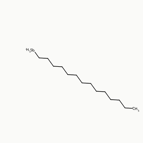 CCCCCCCCCCCCC[CH2][SbH3]